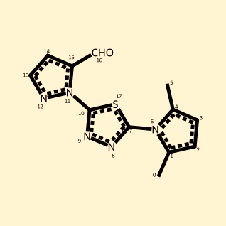 Cc1ccc(C)n1-c1nnc(-n2nccc2C=O)s1